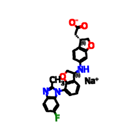 Cc1nc2ccc(F)cc2n1-c1cccc2c1OC[C@H]2Nc1ccc2c(c1)OC[C@H]2CC(=O)[O-].[Na+]